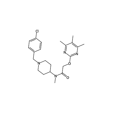 Cc1nc(OCC(=O)N(C)C2CCN(Cc3ccc(Cl)cc3)CC2)nc(C)c1C